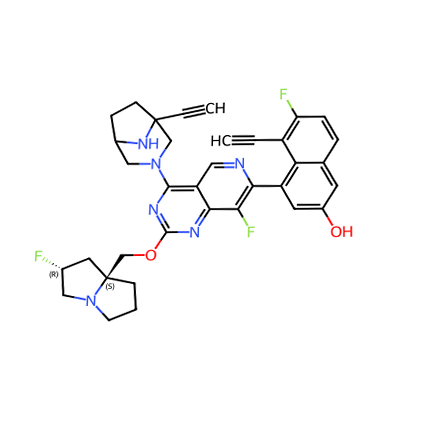 C#Cc1c(F)ccc2cc(O)cc(-c3ncc4c(N5CC6CCC(C#C)(C5)N6)nc(OC[C@@]56CCCN5C[C@H](F)C6)nc4c3F)c12